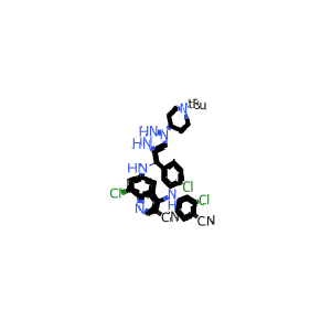 CC(C)(C)N1CCC(N2C=C([C@@H](Nc3cc(Cl)c4ncc(C#N)c(Nc5ccc(C#N)c(Cl)c5)c4c3)c3ccc(Cl)cc3)NN2)CC1